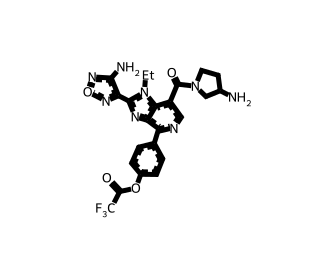 CCn1c(-c2nonc2N)nc2c(-c3ccc(OC(=O)C(F)(F)F)cc3)ncc(C(=O)N3CCC(N)C3)c21